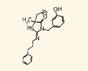 CC(C)CC1(C)N/C(=N\CCCc2ccccc2)N(Cc2cccc(O)c2)C1=O